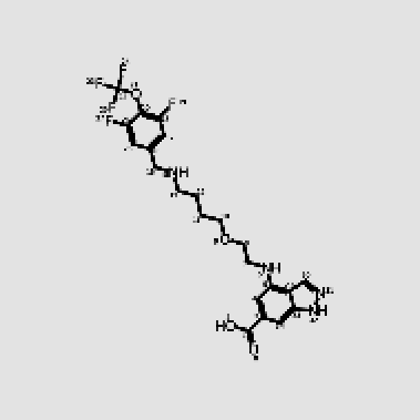 O=C(O)c1cc(NCCOCCCCNCc2cc(F)c(OC(F)(F)F)c(F)c2)c2cn[nH]c2c1